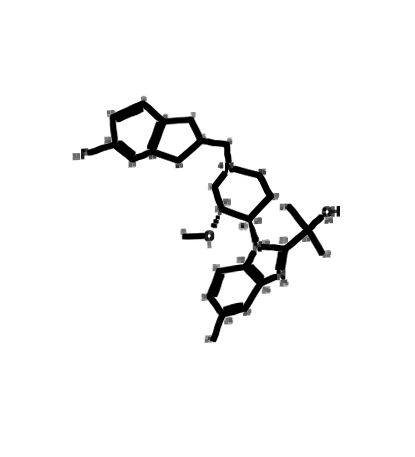 CO[C@@H]1CN(CC2Cc3ccc(F)cc3C2)CC[C@H]1n1c(C(C)(C)O)nc2cc(C)ccc21